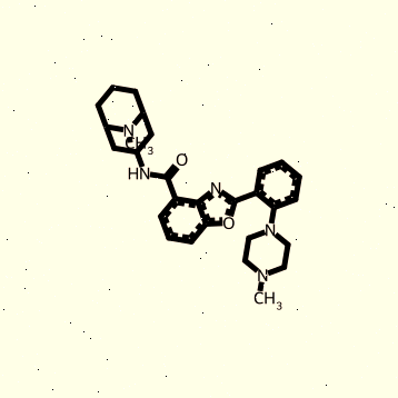 CN1CCN(c2ccccc2-c2nc3c(C(=O)NC4CC5CCCC(C4)N5C)cccc3o2)CC1